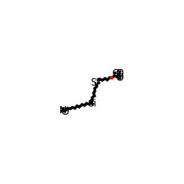 CO[Si](CCCCCCCC[Si](C)(C)CCCCCCCC[Si](C)(C)CCCCCCCCCCON(C)C)(OC)OC